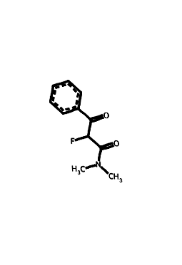 CN(C)C(=O)C(F)C(=O)c1ccccc1